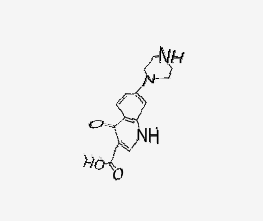 O=C(O)c1c[nH]c2cc(N3CCNCC3)ccc2c1=O